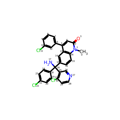 Cn1c(=O)cc(-c2cccc(Cl)c2)c2cc(C(N)(c3ccc(Cl)cc3)c3cnccc3Cl)ccc21